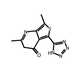 CC1=Nc2c(C)sc(-c3nnn[nH]3)c2C(=O)C1